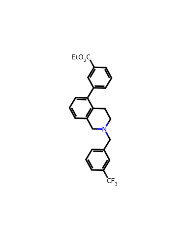 CCOC(=O)c1cccc(-c2cccc3c2CCN(Cc2cccc(C(F)(F)F)c2)C3)c1